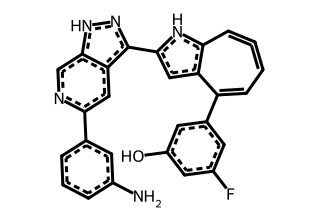 Nc1cccc(-c2cc3c(-c4cc5c([nH]4)C=C=CC=C5c4cc(O)cc(F)c4)n[nH]c3cn2)c1